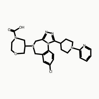 O=C(O)N1CCOCC(N2Cc3cc(Cl)ccc3-n3c(nnc3C3CCN(c4ccccn4)CC3)C2)C1